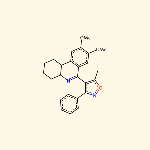 COc1cc2c(cc1OC)C1CCCCC1N=C2c1c(-c2ccccc2)noc1C